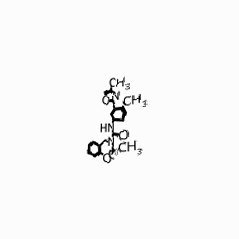 Cc1coc(-c2cc(NC(=O)N3Cc4ccccc4OC[C@H]3C)ccc2C)n1